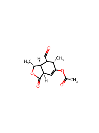 CC(=O)OC1=C[C@H]2C(=O)O[C@H](C)[C@H]2[C@@H](C=O)[C@@H]1C